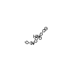 COc1ccc(-c2ccc(C(=O)Nc3ccc4cc(CN5CCC(c6ccc(C)cc6)CC5)ccc4c3)cc2)cc1